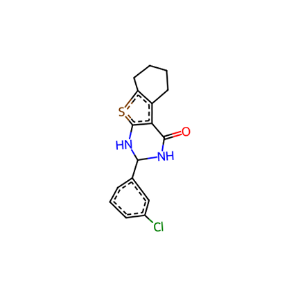 O=C1NC(c2cccc(Cl)c2)Nc2sc3c(c21)CCCC3